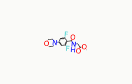 COC(=O)CNC(=O)c1c(F)cc(N2CCOCC2)cc1F